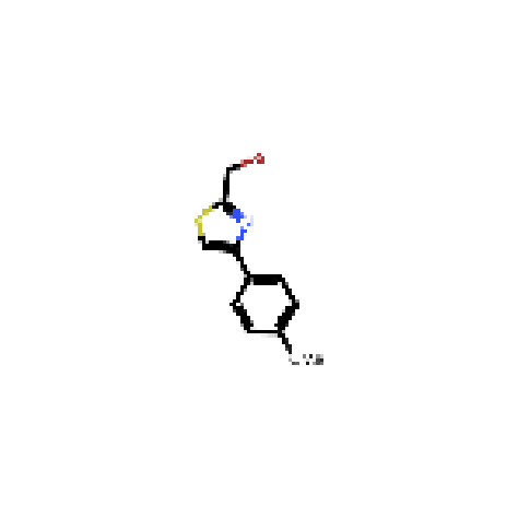 COc1ccc(-c2csc(CBr)n2)cc1